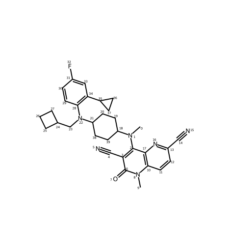 CN(c1c(C#N)c(=O)n(C)c2ccc(C#N)nc12)C1CCC(N(CC2CCC2)c2ccc(F)cc2C2CC2)CC1